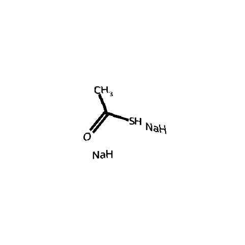 CC(=O)S.[NaH].[NaH]